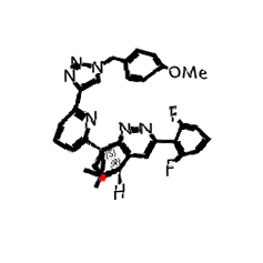 COc1ccc(Cn2cc(-c3cccc([C@@]45CC[C@@H](c6cc(-c7c(F)cccc7F)nnc64)C5(C)C)n3)nn2)cc1